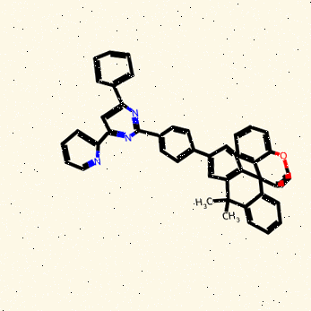 CC1(C)c2ccccc2C2(c3ccccc3Oc3ccccc32)c2ccc(-c3ccc(-c4nc(-c5ccccc5)cc(-c5ccccn5)n4)cc3)cc21